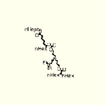 CCCCCCCOC(=O)CCCCC(CCCCCC)OC(=O)OCCCN(CCCOC(=O)C(CCCCCC)CCCCCC)CCN(CC)CC